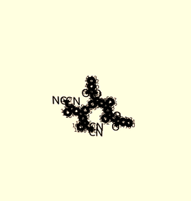 N#CC(C#N)=CC1=Cc2cc3c(cc2C12CCCCC2)-c1cc2c(cc1C31CCC(C3CCC4(CC3)C(C=C3C(=O)c5cc6ccccc6cc5C3=O)=Cc3cc5c(cc34)-c3cc4c(cc3C53CCCCC3)C=C(C=C3C(=O)c5cc6ccccc6cc5C3=O)C43CCCCC3)CC1)C=C(C=C(C#N)C#N)C21CCCCC1